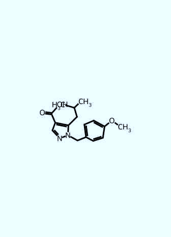 COc1ccc(Cn2ncc(C(=O)O)c2CC(C)C)cc1